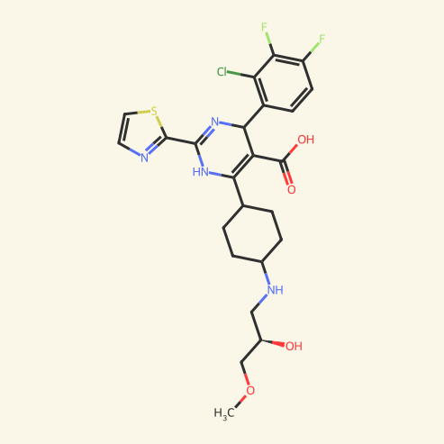 COC[C@H](O)CNC1CCC(C2=C(C(=O)O)C(c3ccc(F)c(F)c3Cl)N=C(c3nccs3)N2)CC1